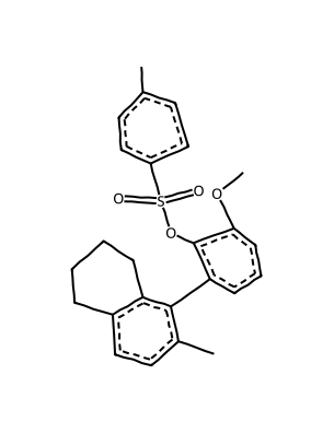 COc1cccc(-c2c(C)ccc3c2CCCC3)c1OS(=O)(=O)c1ccc(C)cc1